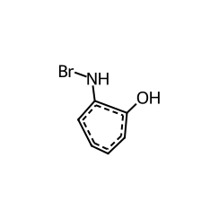 Oc1ccccc1NBr